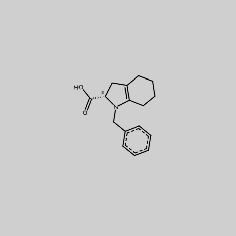 O=C(O)[C@@H]1CC2=C(CCCC2)N1Cc1ccccc1